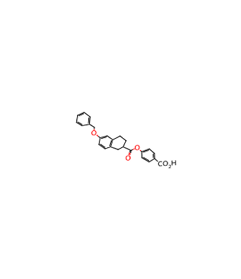 O=C(O)c1ccc(OC(=O)C2CCc3cc(OCc4ccccc4)ccc3C2)cc1